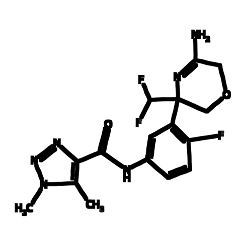 Cc1c(C(=O)Nc2ccc(F)c(C3(C(F)F)COCC(N)=N3)c2)nnn1C